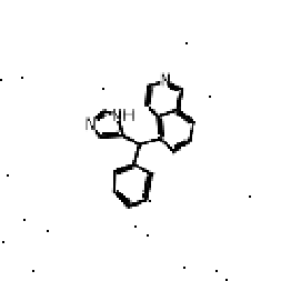 c1ccc(C(c2cnc[nH]2)c2cccc3cnccc23)cc1